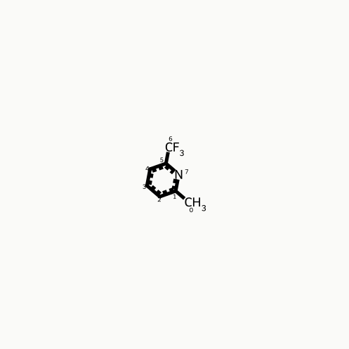 Cc1cc[c]c(C(F)(F)F)n1